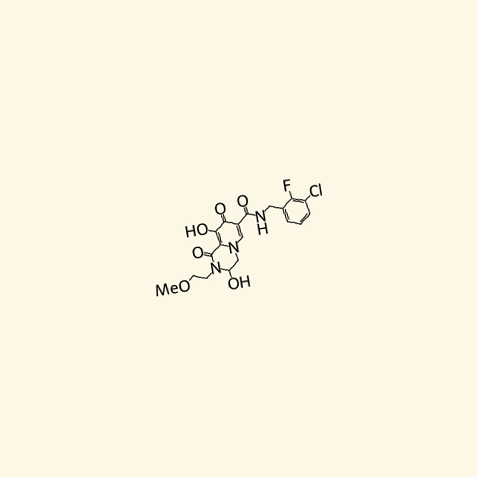 COCCN1C(=O)c2c(O)c(=O)c(C(=O)NCc3cccc(Cl)c3F)cn2CC1O